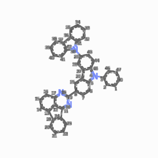 c1ccc(-n2c3ccc(-c4nc5c6c(cccc6n4)-c4ccccc4-5)cc3c3cc(-n4c5ccccc5c5ccccc54)ccc32)cc1